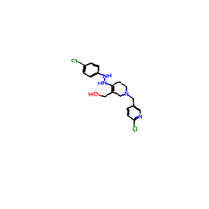 OCC1=C(NNc2ccc(Cl)cc2)CCN(Cc2ccc(Cl)nc2)C1